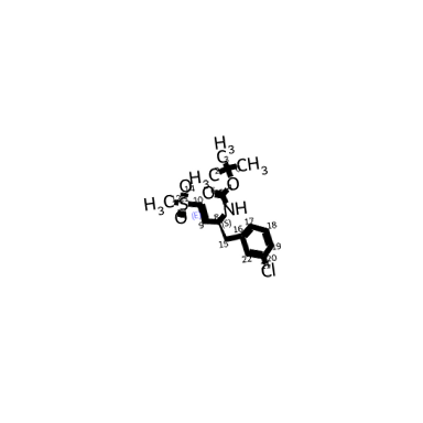 CC(C)(C)OC(=O)N[C@H](/C=C/S(C)(=O)=O)Cc1cccc(Cl)c1